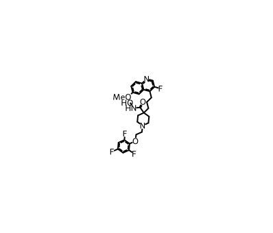 COc1ccc2ncc(F)c(CCCC3(C(=O)NO)CCN(CCOc4c(F)cc(F)cc4F)CC3)c2c1